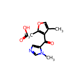 Cc1coc(C)c1C(=O)c1cncn1C.O=CO